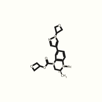 CC(=O)N1c2ccc(-c3cnn(C4COC4)c3)cc2N(C(=O)OC2COC2)C[C@@H]1C